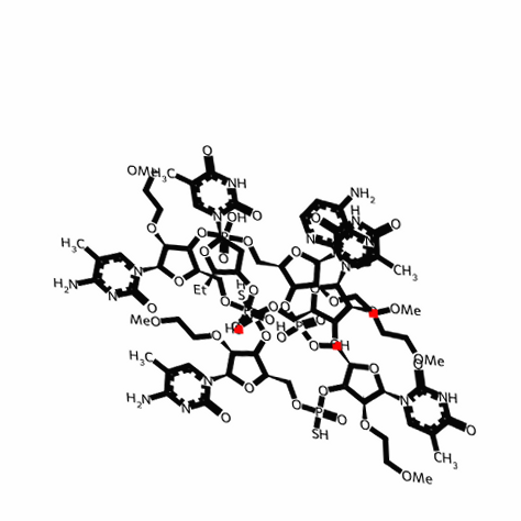 CC[C@H]1O[C@@H](n2cc(C)c(=O)[nH]c2=O)CC1OP(=O)(S)OC[C@H]1O[C@@H](n2cc(C)c(N)nc2=O)[C@@H](OCCOC)C1OP(=O)(O)OC[C@H]1O[C@@H](n2cc(C)c(=O)[nH]c2=O)[C@@H](OCCOC)C1OP(=O)(O)OC[C@H]1O[C@@H](n2cc(C)c(=O)[nH]c2=O)[C@@H](OCCOC)C1OP(=O)(S)OC[C@H]1O[C@@H](n2cc(C)c(N)nc2=O)[C@@H](OCCOC)C1OP(=O)(S)OC[C@H]1O[C@@H](n2cnc3c(N)ccnc32)[C@@H](OCCOC)C1O